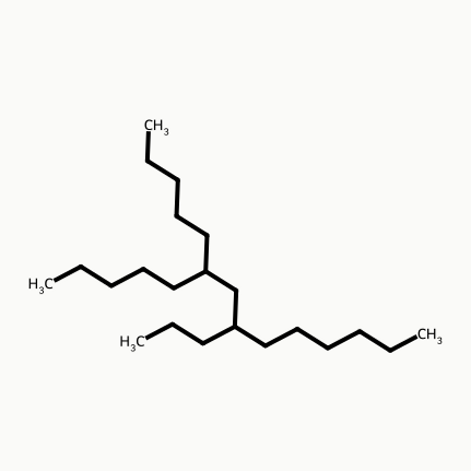 CCCCCCC(CCC)CC(CCCCC)CCCCC